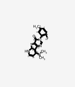 Cc1ccc(F)c(-n2cnc3c(c2=O)SC2NC=CC(N(C)C)=C32)c1